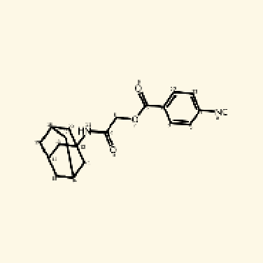 [C-]#[N+]c1ccc(C(=O)OCC(=O)NC23CC4CC(CC(C4)C2)C3)cc1